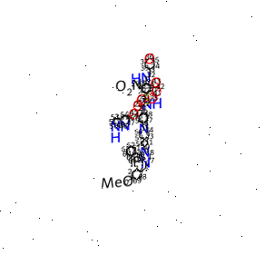 COc1ccc(CN2CCN(C3CC4(CCN(c5ccc(C(=O)NS(=O)(=O)c6cc([N+](=O)[O-])c(NCC7CCOCC7)c7c6OCO7)c(Oc6cnc7[nH]ccc7c6)c5)CC4)C3)[C@H](c3ccccc3C(C)C)C2)cc1